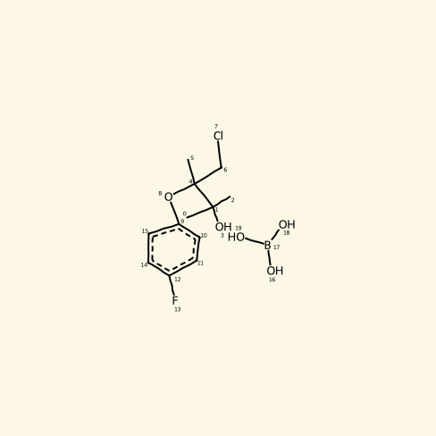 CC(C)(O)C(C)(CCl)Oc1ccc(F)cc1.OB(O)O